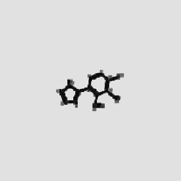 COc1c(-c2nnn[nH]2)ccc(F)c1C(C)C